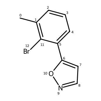 Cc1cccc(-c2ccno2)c1Br